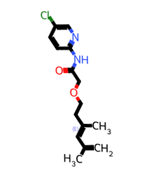 C=C(C)/C=C(\C)CCOCC(=O)Nc1ccc(Cl)cn1